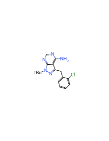 CC(C)(C)n1nc(Cc2ccccc2Cl)c2c(N)ncnc21